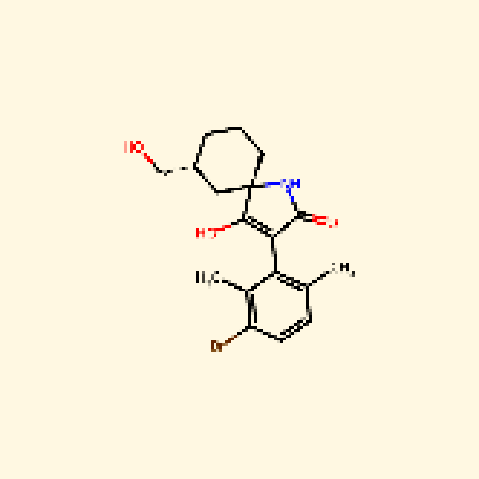 Cc1ccc(Br)c(C)c1C1=C(O)[C@@]2(CCC[C@@H](CO)C2)NC1=O